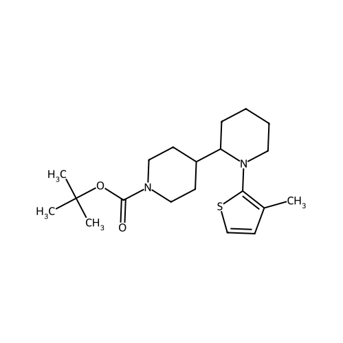 Cc1ccsc1N1CCCCC1C1CCN(C(=O)OC(C)(C)C)CC1